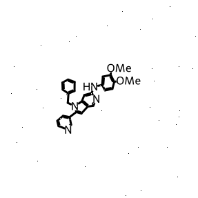 COc1ccc(Nc2cc3c(cn2)cc(-c2cccnc2)n3Cc2ccccc2)cc1OC